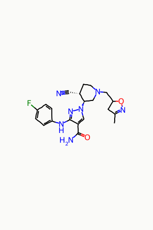 CC1=NOC(CN2CC[C@@H](C#N)[C@H](n3cc(C(N)=O)c(Nc4ccc(F)cc4)n3)C2)C1